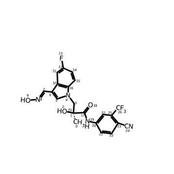 C[C@](O)(Cn1cc(C=NO)c2cc(F)ccc21)C(=O)Nc1ccc(C#N)c(C(F)(F)F)c1